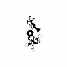 O=c1[nH]c2cnc(Cl)nc2n1Cc1ccc(-n2nc(C(F)(F)F)cc2C2CC2)cc1